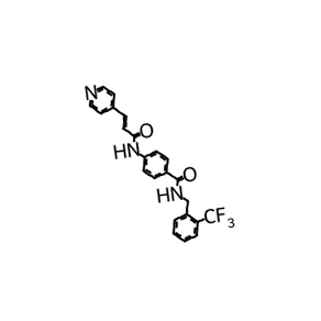 O=C(/C=C/c1ccncc1)Nc1ccc(C(=O)NCc2ccccc2C(F)(F)F)cc1